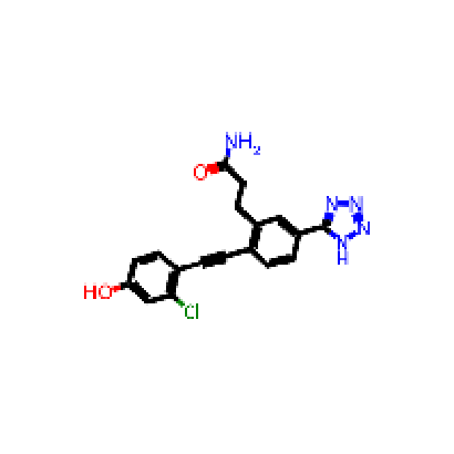 NC(=O)CCc1cc(-c2nnn[nH]2)ccc1C#Cc1ccc(O)cc1Cl